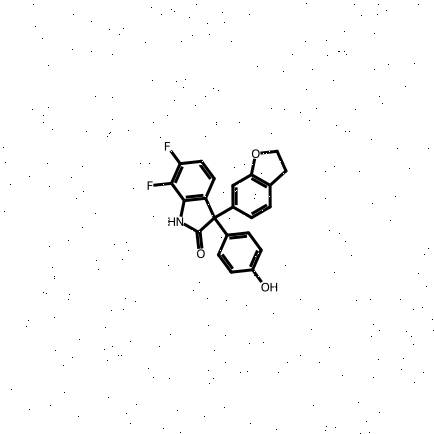 O=C1Nc2c(ccc(F)c2F)C1(c1ccc(O)cc1)c1ccc2c(c1)OCC2